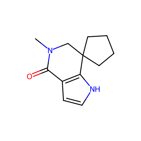 CN1CC2(CCCC2)c2[nH]ccc2C1=O